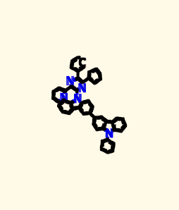 c1ccc(-c2nc(-c3ccccn3)c(-n3c4ccccc4c4cc(-c5ccc6c(c5)c5ccccc5n6-c5ccccc5)ccc43)nc2-c2ccccc2)cc1